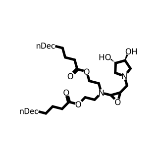 CCCCCCCCCCCCCC(=O)OCCN(CCOC(=O)CCCCCCCCCCCCC)C1OC1CN1C[C@H](O)[C@@H](O)C1